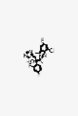 Cc1c2cc(F)cc(Cl)c2nn1[C@H](C)[C@](O)(Cn1cncn1)c1ccc(F)cc1F